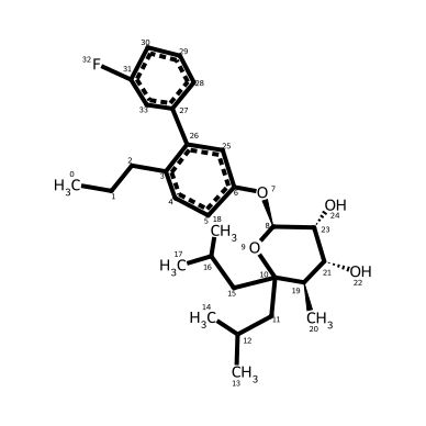 CCCc1ccc(O[C@@H]2OC(CC(C)C)(CC(C)C)[C@H](C)[C@@H](O)[C@H]2O)cc1-c1cccc(F)c1